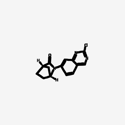 O=C1[C@H]2CC[C@H](C2)N1c1ccc2cnc(Cl)nc2c1